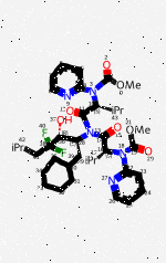 COC(=O)N(c1ccccn1)[C@H](C(=O)N(C(=O)[C@H](C(C)C)N(C(=O)OC)c1ccccn1)[C@@H](CC1CCCCC1)[C@@H](O)C(F)(F)CC(C)C)C(C)C